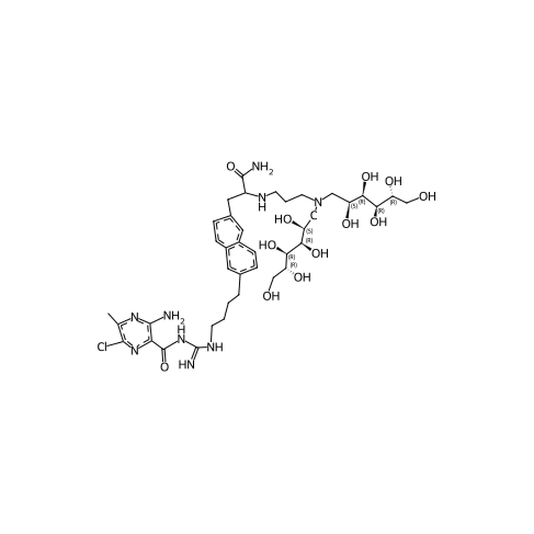 Cc1nc(N)c(C(=O)NC(=N)NCCCCc2ccc3cc(CC(NCCCN(C[C@H](O)[C@@H](O)[C@H](O)[C@H](O)CO)C[C@H](O)[C@@H](O)[C@H](O)[C@H](O)CO)C(N)=O)ccc3c2)nc1Cl